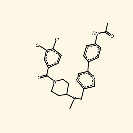 CC(=O)Nc1ccc(-c2cnc(CN(C)C3CCN(C(=O)c4ccc(Cl)c(Cl)c4)CC3)cn2)cc1